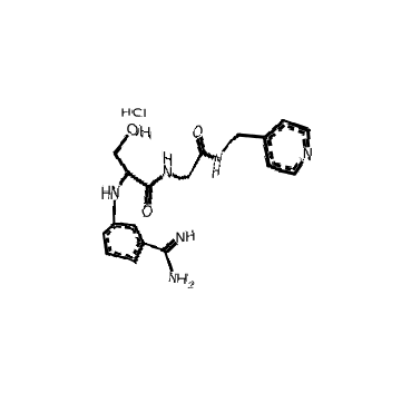 Cl.N=C(N)c1cccc(NC(CO)C(=O)NCC(=O)NCc2ccncc2)c1